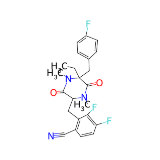 CCC1(Cc2ccc(F)cc2)C(=O)N(C)C(Cc2c(C#N)ccc(F)c2F)C(=O)N1C